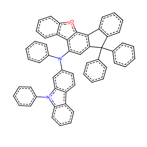 c1ccc(N(c2ccc3c4ccccc4n(-c4ccccc4)c3c2)c2cc3c(c4oc5ccccc5c24)-c2ccccc2C3(c2ccccc2)c2ccccc2)cc1